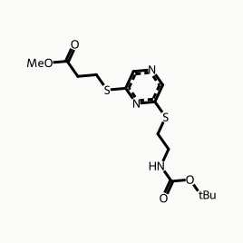 COC(=O)CCSc1cncc(SCCNC(=O)OC(C)(C)C)n1